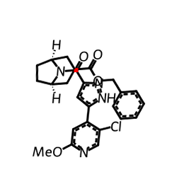 COc1cc(-c2cc(C(=O)N3[C@@H]4CC[C@H]3CC(C(=O)OCc3ccccc3)C4)n[nH]2)c(Cl)cn1